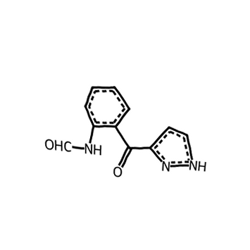 O=CNc1ccccc1C(=O)c1cc[nH]n1